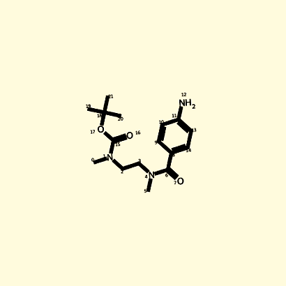 CN(CCN(C)C(=O)c1ccc(N)cc1)C(=O)OC(C)(C)C